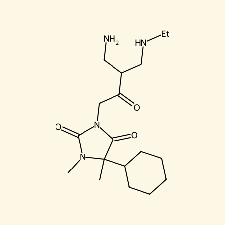 CCNCC(CN)C(=O)CN1C(=O)N(C)C(C)(C2CCCCC2)C1=O